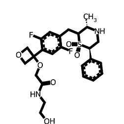 C[C@@H]1NC[C@@H](c2ccccc2)S(=O)(=O)C1Cc1cc(F)c(C2(OCC(=O)NCCO)COC2)cc1F